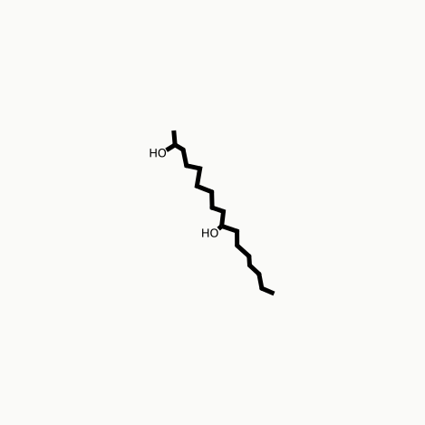 CCCCCCCC(O)CCCCCCCC(C)O